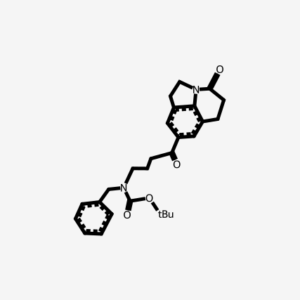 CC(C)(C)OC(=O)N(CCCC(=O)c1cc2c3c(c1)CCN3C(=O)CC2)Cc1ccccc1